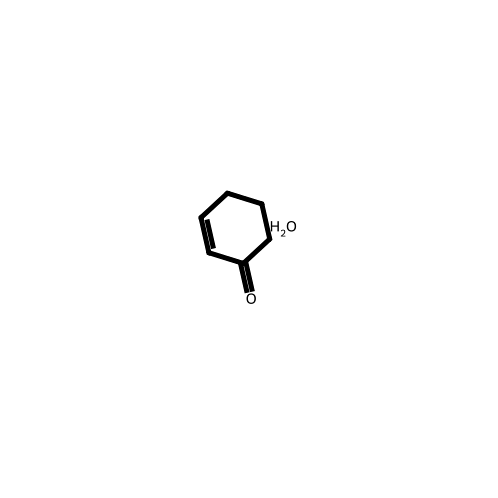 O.O=C1C=CCCC1